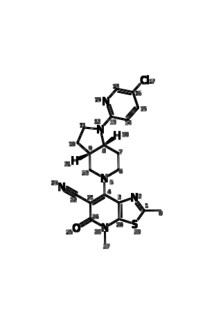 Cc1nc2c(N3CC[C@@H]4[C@@H](CCN4c4ccc(Cl)cn4)C3)c(C#N)c(=O)n(C)c2s1